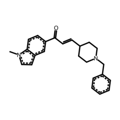 Cn1ccc2cc(C(=O)C=CC3CCN(Cc4ccccc4)CC3)ccc21